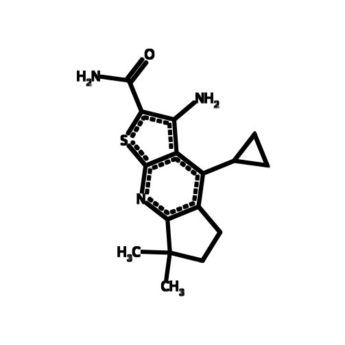 CC1(C)CCc2c1nc1sc(C(N)=O)c(N)c1c2C1CC1